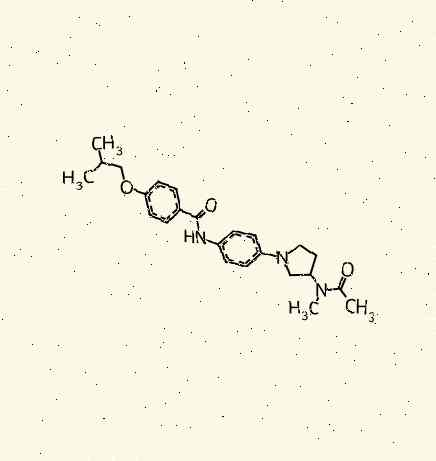 CC(=O)N(C)C1CCN(c2ccc(NC(=O)c3ccc(OCC(C)C)cc3)cc2)C1